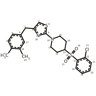 Cc1ccc(Cc2csc(N3CCC(S(=O)(=O)c4ccccc4Cl)CC3)n2)cc1C